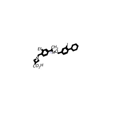 CCc1cc(/C(C)=N/OCc2ccc(C3CCCCC3)c(I)c2)ccc1CN1CC(C(=O)O)C1